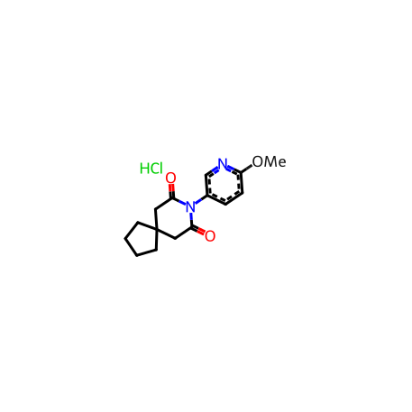 COc1ccc(N2C(=O)CC3(CCCC3)CC2=O)cn1.Cl